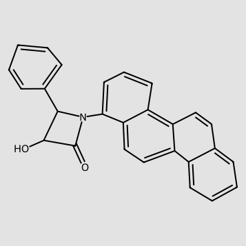 O=C1C(O)C(c2ccccc2)N1c1cccc2c1ccc1c3ccccc3ccc21